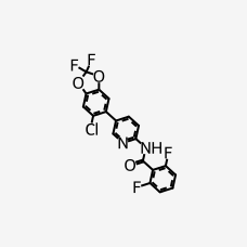 O=C(Nc1ccc(-c2cc3c(cc2Cl)OC(F)(F)O3)cn1)c1c(F)cccc1F